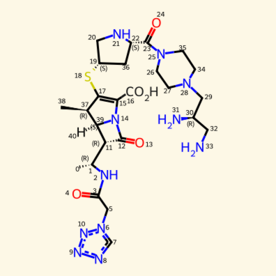 C[C@@H](NC(=O)Cn1cnnn1)[C@H]1C(=O)N2C(C(=O)O)=C(S[C@@H]3CN[C@H](C(=O)N4CCN(C[C@H](N)CN)CC4)C3)[C@H](C)[C@H]12